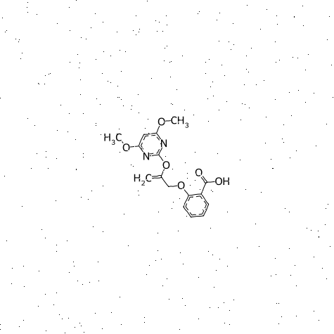 C=C(COc1ccccc1C(=O)O)Oc1nc(OC)cc(OC)n1